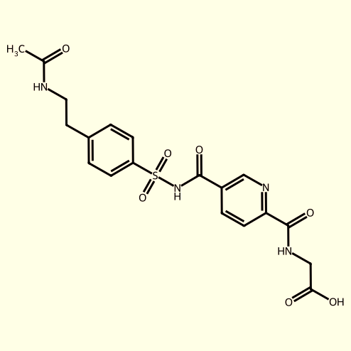 CC(=O)NCCc1ccc(S(=O)(=O)NC(=O)c2ccc(C(=O)NCC(=O)O)nc2)cc1